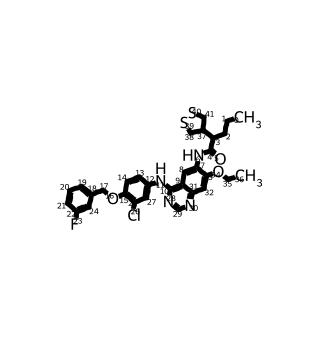 CCCC(C(=O)Nc1cc2c(Nc3ccc(OCc4cccc(F)c4)c(Cl)c3)ncnc2cc1OCC)C1CSSC1